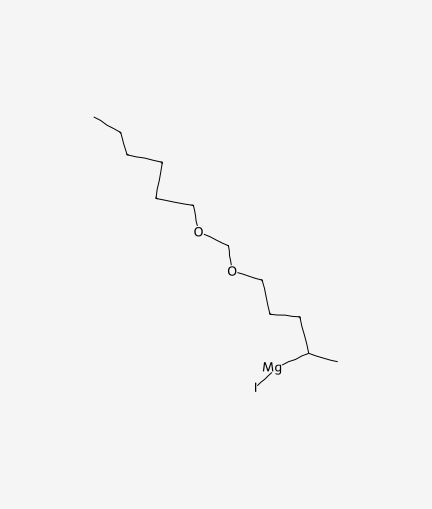 CCCCCCOCOCCC[CH](C)[Mg][I]